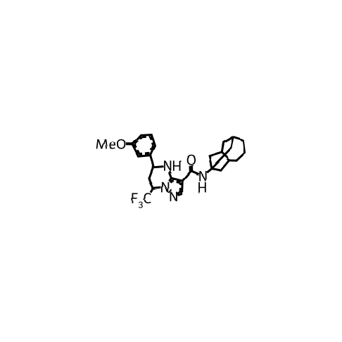 COc1cccc(C2CC(C(F)(F)F)n3ncc(C(=O)NC45CC6CCCC(C4)C(C6)C5)c3N2)c1